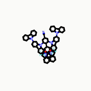 N#Cc1cc(-n2c3cc(-n4c5ccccc5c5ccccc54)ccc3c3ccc(-n4c5ccccc5c5ccccc54)cc32)c(-c2cc(C(F)(F)F)cc(C(F)(F)F)c2)c(-n2c3cc(-n4c5ccccc5c5ccccc54)ccc3c3ccc(-n4c5ccccc5c5ccccc54)cc32)c1